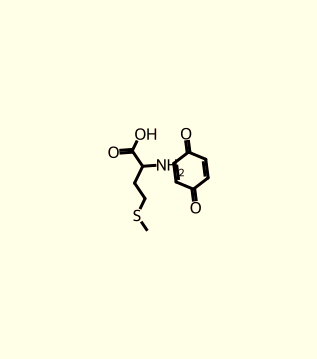 CSCCC(N)C(=O)O.O=C1C=CC(=O)C=C1